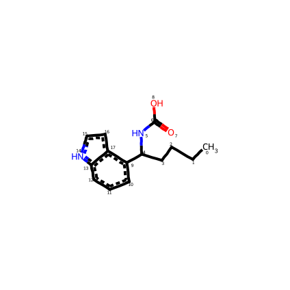 CCCCC(NC(=O)O)c1cccc2[nH]ccc12